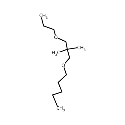 CCCCCOCC(C)(C)COCCC